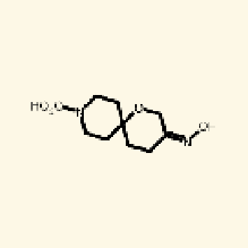 O=C(O)N1CCC2(CC/C(=N/O)CO2)CC1